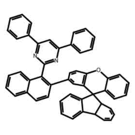 C1=CC2c3ccccc3C3(c4ccccc4Oc4ccc(-c5ccc6ccccc6c5-c5nc(-c6ccccc6)cc(-c6ccccc6)n5)cc43)C2C=C1